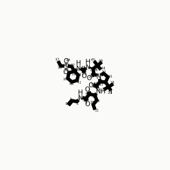 C=CCNC(=O)C(=O)C(CCC)NC(=O)C1C(C(C)(C)I)CCN1C(=O)[C@@H](NC(=O)NC1(CS(=O)(=O)CC)CCCCC1)C(C)(C)C